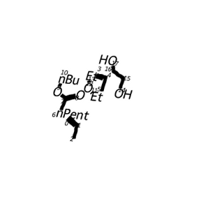 C=CC.C=CC.CCCCCC(=O)OCCCC.CCOCC.OCCO